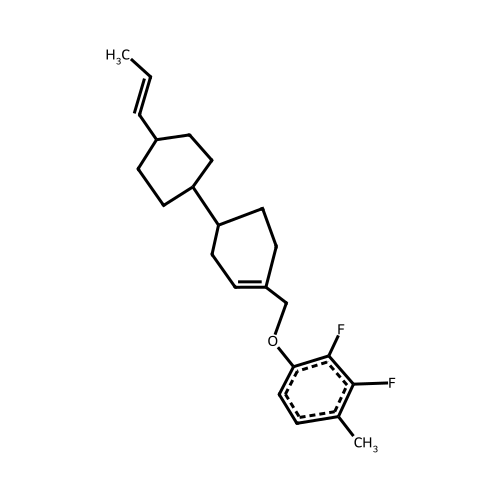 C/C=C/C1CCC(C2CC=C(COc3ccc(C)c(F)c3F)CC2)CC1